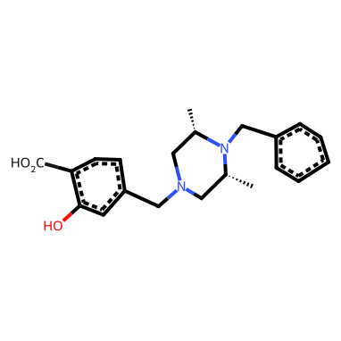 C[C@@H]1CN(Cc2ccc(C(=O)O)c(O)c2)C[C@H](C)N1Cc1ccccc1